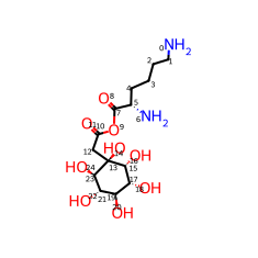 NCCCC[C@H](N)C(=O)OC(=O)C[C@]1(O)[C@H](O)[C@H](O)[C@@H](O)[C@H](O)[C@H]1O